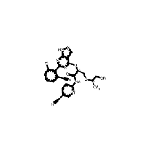 C[C@H](CO)OC[C@H](Oc1nc(-c2c(Cl)cccc2C#N)nc2[nH]ncc12)C(=O)Nc1ccc(C#N)cn1